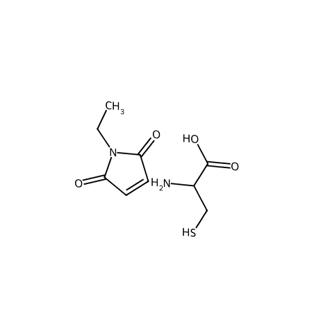 CCN1C(=O)C=CC1=O.NC(CS)C(=O)O